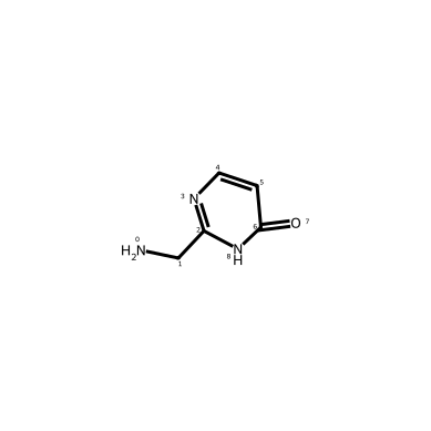 NCc1nccc(=O)[nH]1